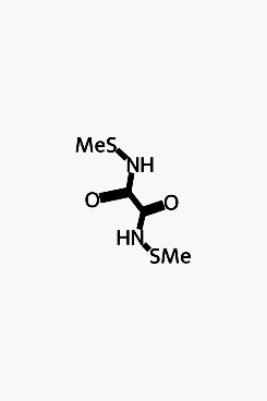 CSNC(=O)C(=O)NSC